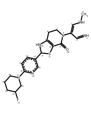 CN/C=C(\C=N)N1CCC2=C(SC(c3ccc(N4CCCC(F)C4)nc3)N2)C1=O